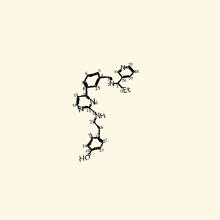 CCC(N=Cc1cccc(-c2ccnc(NCCc3ccc(O)cc3)n2)c1)c1cccnc1